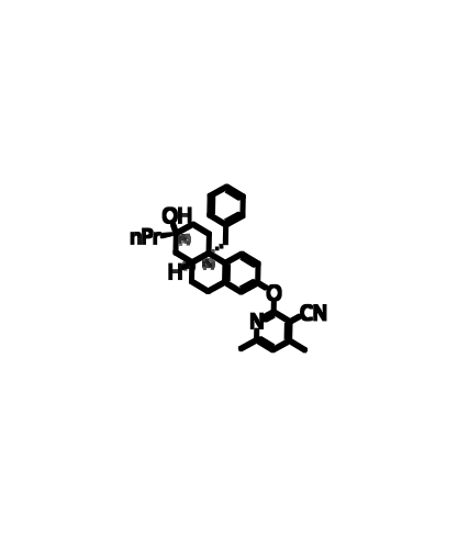 CCC[C@@]1(O)CC[C@@]2(Cc3ccccc3)c3ccc(Oc4nc(C)cc(C)c4C#N)cc3CC[C@@H]2C1